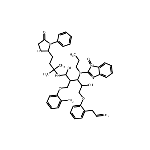 C=CCc1ccccc1OCC(O)C(C(COc1ccccc1C)C(O)NC(C)(C)CCC1NCC(=O)N1c1ccccc1)N(CCC)C1=Nc2ccccc2[N+]1=O